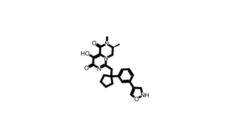 C[C@H]1Cn2c(CC3(c4cccc(C5=CONC5)c4)CCCC3)nc(=O)c(O)c2C(=O)N1C